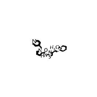 CN1CCCC[C@@H]1/C=C/c1csc(NC(=O)c2cccn2Cc2ccncc2)n1